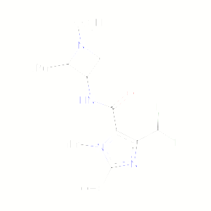 CC(C)n1c(C=O)nc(C(F)F)c1C(=O)NC1CN(C(=O)O)C1C(C)(C)C